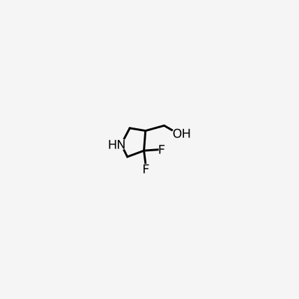 OCC1CNCC1(F)F